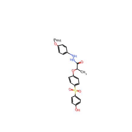 CCCC(C)Oc1ccc(NNC(=O)C(C)Oc2ccc(S(=O)(=O)c3ccc(O)cc3)cc2)cc1